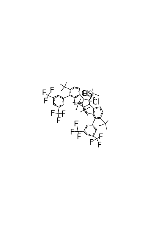 C[SiH](C)[Zr]([Cl])([Cl])([CH]1C(C(C)(C)C)=Cc2c1ccc(C(C)(C)C)c2-c1cc(C(F)(F)F)cc(C(F)(F)F)c1)[CH]1C(C(C)(C)C)=Cc2c1ccc(C(C)(C)C)c2-c1cc(C(F)(F)F)cc(C(F)(F)F)c1